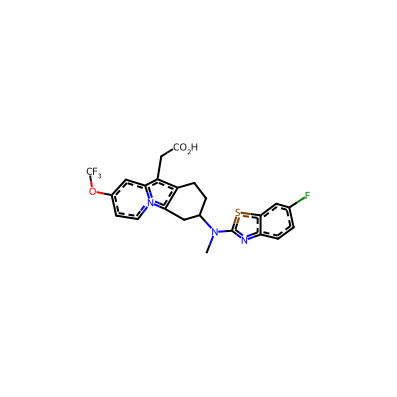 CN(c1nc2ccc(F)cc2s1)C1CCc2c(CC(=O)O)c3cc(OC(F)(F)F)ccn3c2C1